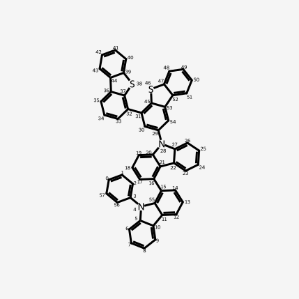 c1ccc(-n2c3ccccc3c3cccc(-c4cccc5c4c4ccccc4n5-c4cc(-c5cccc6c5sc5ccccc56)c5sc6ccccc6c5c4)c32)cc1